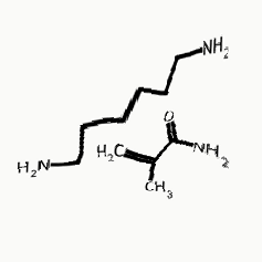 C=C(C)C(N)=O.NCCCCCCN